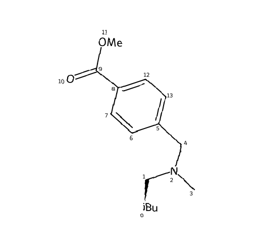 CC[C@H](C)CN(C)Cc1ccc(C(=O)OC)cc1